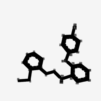 CCc1ccccc1CCNc1ccccc1Oc1ccc(Cl)cc1